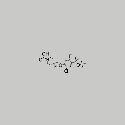 CC(C)(C)OC(=O)c1cc(Cl)c(OCC2(F)CCN(C(=O)O)CC2)cc1F